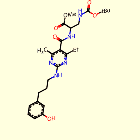 CCc1nc(NCCCc2cccc(O)c2)nc(C)c1C(=O)NC(CNC(=O)OC(C)(C)C)C(=O)OC